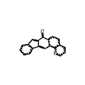 O=C1C2=Cc3ccccc3C2=Cc2c1ccc1cccnc21